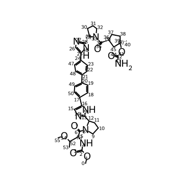 COC(=O)N[C@H](C(=O)N1CCCC1c1ncc(-c2ccc(-c3ccc(-c4cnc([C@@H]5CCCN5C(=O)[C@H]5CC[C@@](C)(OC(N)=O)C5)[nH]4)cc3)cc2)[nH]1)C(C)OC